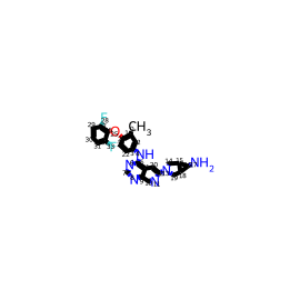 Cc1cc(Nc2ncnc3cnc(N4CC5C(N)C5C4)cc23)ccc1Oc1c(F)cccc1F